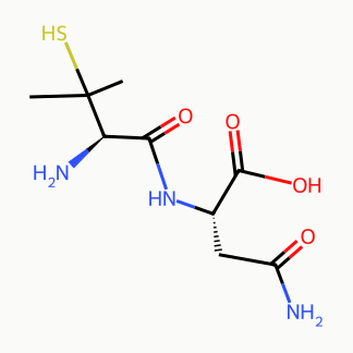 CC(C)(S)[C@H](N)C(=O)N[C@@H](CC(N)=O)C(=O)O